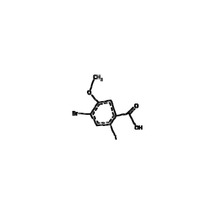 COc1cc(C(=O)O)c(I)cc1Br